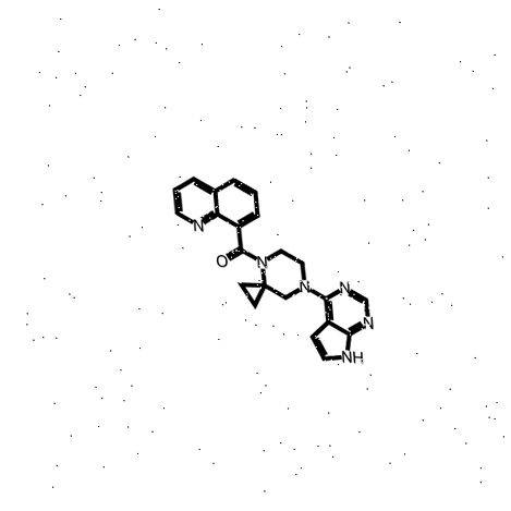 O=C(c1cccc2cccnc12)N1CCN(c2ncnc3[nH]ccc23)CC12CC2